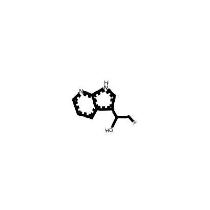 OC(CF)c1c[nH]c2ncccc12